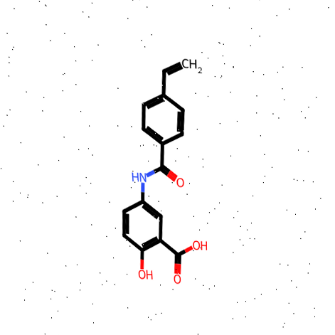 C=Cc1ccc(C(=O)Nc2ccc(O)c(C(=O)O)c2)cc1